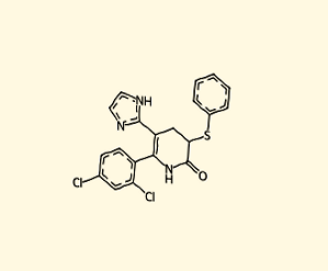 O=C1NC(c2ccc(Cl)cc2Cl)=C(c2ncc[nH]2)CC1Sc1ccccc1